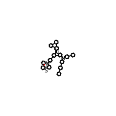 c1ccc(-c2ccc(-c3ccc(N(c4ccc(-c5ccccc5)cc4)c4ccc5c(c4)c4cc(-c6ccc(N(c7ccccc7)c7cccc8sc9ccccc9c78)cc6)ccc4n5-c4ccc5c6ccccc6c6ccccc6c5c4)cc3)cc2)cc1